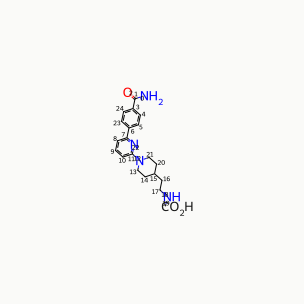 NC(=O)c1ccc(-c2cccc(N3CCC(CCNC(=O)O)CC3)n2)cc1